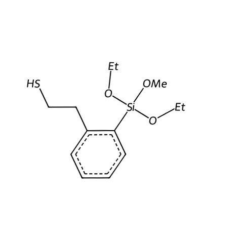 CCO[Si](OC)(OCC)c1ccccc1CCS